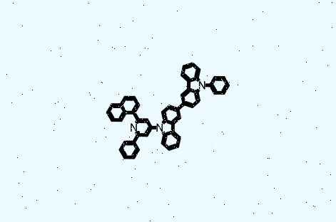 c1ccc(-c2cc(-n3c4ccccc4c4cc(-c5ccc6c(c5)c5ccccc5n6-c5ccccc5)ccc43)cc(-c3cccc4ccccc34)n2)cc1